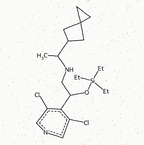 CC[Si](CC)(CC)OC(CNC(C)C1CC2(CC2)C1)c1c(Cl)cncc1Cl